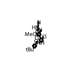 COn1c(=O)c(-c2cc(NC(=O)c3ccc(C(C)(C)C)cc3)ccc2Cl)cc2cnc(NCCN(C)C)nc21